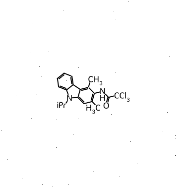 Cc1cc2c(c(C)c1NC(=O)C(Cl)(Cl)Cl)c1ccccc1n2C(C)C